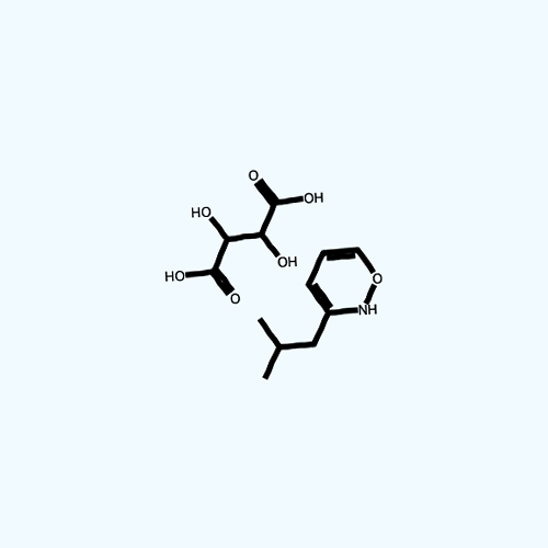 CC(C)CC1=CC=CON1.O=C(O)C(O)C(O)C(=O)O